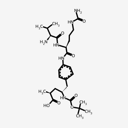 CC(C)[C@H](N)C(=O)N[C@@H](CCCNC(N)=O)C(=O)Nc1ccc(C[C@@H](C[C@H](C)C(=O)O)NC(=O)OC(C)(C)C)cc1